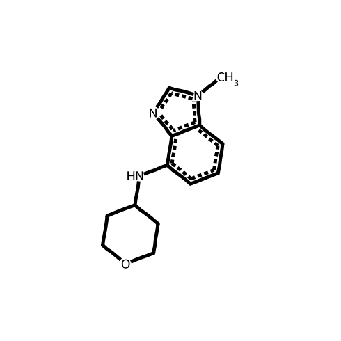 Cn1cnc2c(NC3CCOCC3)cccc21